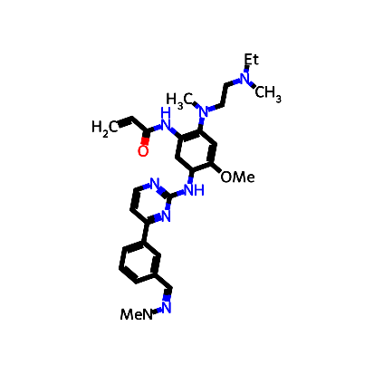 C=CC(=O)NC1=C(N(C)CCN(C)CC)C=C(OC)C(Nc2nccc(-c3cccc(/C=N\NC)c3)n2)C1